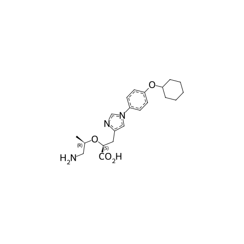 C[C@H](CN)O[C@@H](Cc1cn(-c2ccc(OC3CCCCC3)cc2)cn1)C(=O)O